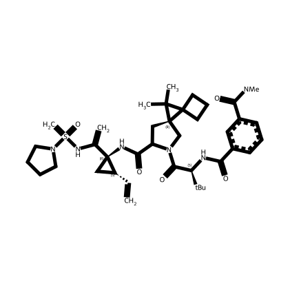 C=C[C@@H]1C[C@]1(NC(=O)C1C[C@@]2(CN1C(=O)[C@@H](NC(=O)c1cccc(C(=O)NC)c1)C(C)(C)C)C(C)(C)C21CCC1)C(=C)NS(=C)(=O)N1CCCC1